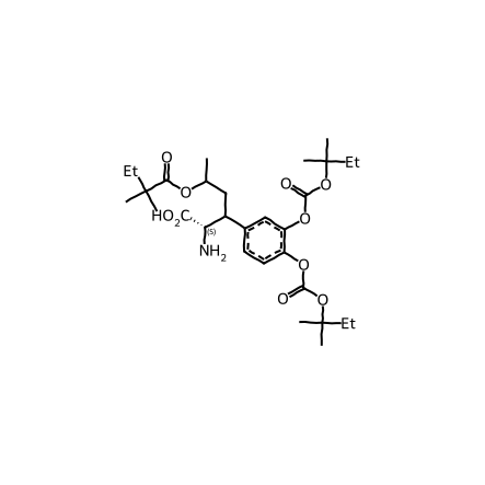 CCC(C)(C)OC(=O)Oc1ccc(C(CC(C)OC(=O)C(C)(C)CC)[C@H](N)C(=O)O)cc1OC(=O)OC(C)(C)CC